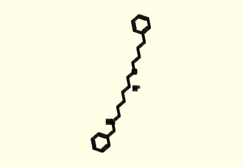 [H+].c1ccc(CCCCOCCCCCCNCc2ccccc2)cc1